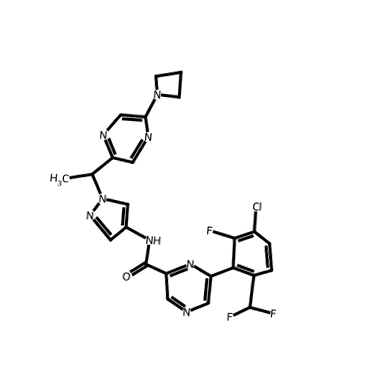 CC(c1cnc(N2CCC2)cn1)n1cc(NC(=O)c2cncc(-c3c(C(F)F)ccc(Cl)c3F)n2)cn1